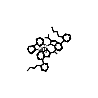 CCCCc1ccccc1-c1cccc2c1C=C(C(C)C)[CH]2[Zr]([c]1cccc2c1[SiH2]c1ccccc1-2)[CH]1C(C(C)C)=Cc2c(-c3ccccc3CCCC)cccc21